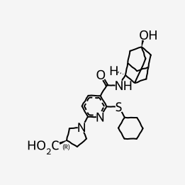 O=C(N[C@H]1C2CC3CC1C[C@@](O)(C3)C2)c1ccc(N2CC[C@@H](C(=O)O)C2)nc1SC1CCCCC1